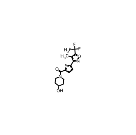 Cc1c(-c2ccc(C(=O)N3CCC(O)CC3)s2)noc1C(F)(F)P